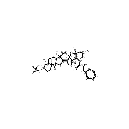 CC1=C2C[C@H]3C(CC[C@@H]4C[C@@H](OS(C)(=O)=O)CCC43C)[C@@H]2CC[C@]12O[C@@H]1C[C@H](C)CN(C(=O)OCc3ccccc3)[C@H]1[C@H]2C